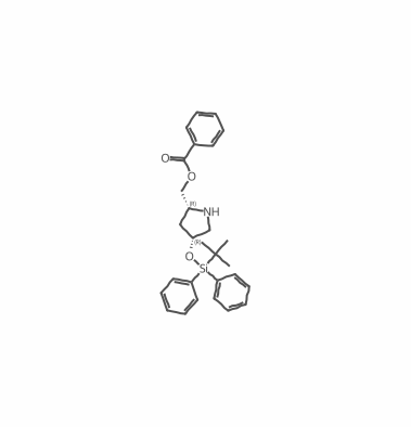 CC(C)(C)[Si](O[C@H]1CN[C@@H](COC(=O)c2ccccc2)C1)(c1ccccc1)c1ccccc1